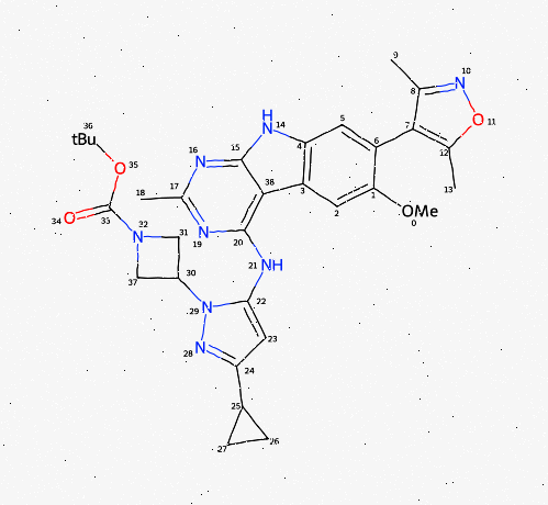 COc1cc2c(cc1-c1c(C)noc1C)[nH]c1nc(C)nc(Nc3cc(C4CC4)nn3C3CN(C(=O)OC(C)(C)C)C3)c12